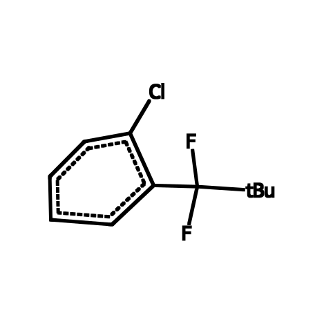 CC(C)(C)C(F)(F)c1ccccc1Cl